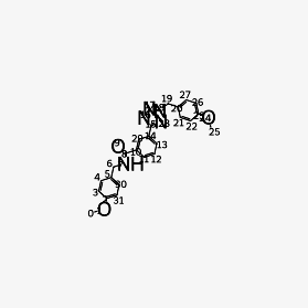 COc1ccc(CNC(=O)c2cccc(-c3nnn(Cc4ccc(OC)cc4)n3)c2)cc1